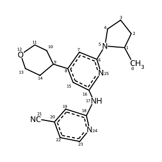 CC1CCCN1c1cc(C2CCOCC2)cc(Nc2cc(C#N)ccn2)n1